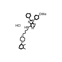 COc1ccc(-n2c(-c3ccccc3)nc3c(NCCCCN4CCN(c5cccc(C)c5C)CC4)ncnc32)cc1.Cl